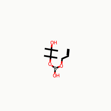 C=CCOB(O)OC(C)(C)C(C)(C)O